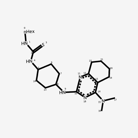 CCCCCCNC(=S)NC1CCC(Nc2nc3c(c(N(C)C)n2)CCCC3)CC1